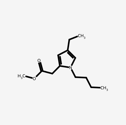 CCCCn1cc(CC)cc1CC(=O)OC